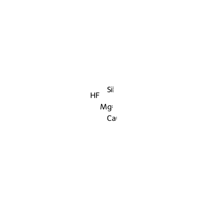 F.[Ca].[Mg].[Si]